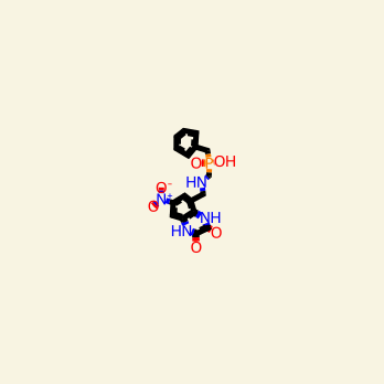 O=c1[nH]c2cc([N+](=O)[O-])cc(CNCP(=O)(O)Cc3ccccc3)c2[nH]c1=O